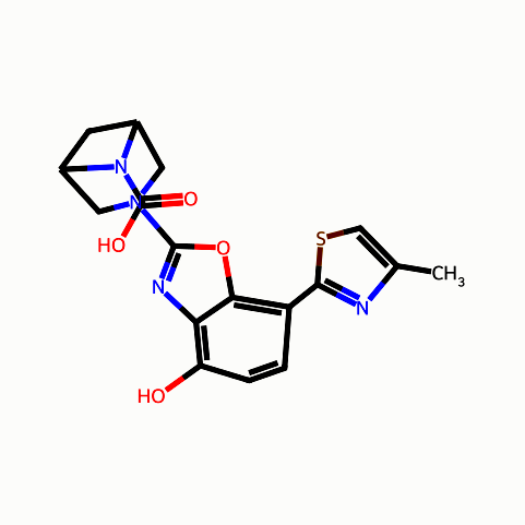 Cc1csc(-c2ccc(O)c3nc(N4CC5CC(C4)N5C(=O)O)oc23)n1